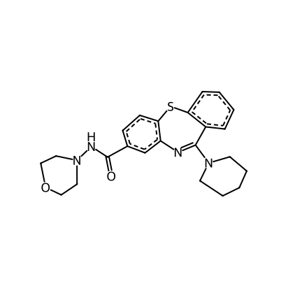 O=C(NN1CCOCC1)c1ccc2c(c1)N=C(N1CCCCC1)c1ccccc1S2